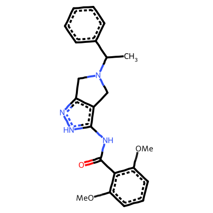 COc1cccc(OC)c1C(=O)Nc1[nH]nc2c1CN(C(C)c1ccccc1)C2